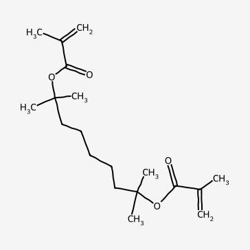 C=C(C)C(=O)OC(C)(C)CCCCCC(C)(C)OC(=O)C(=C)C